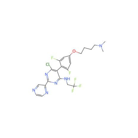 CN(C)CCCCOc1cc(F)c(-c2c(Cl)nc(-c3cnccn3)nc2NCC(F)(F)F)c(F)c1